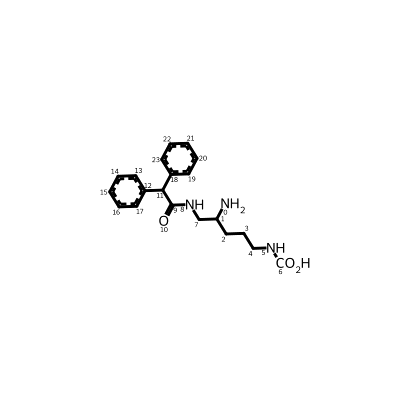 NC(CCCNC(=O)O)CNC(=O)C(c1ccccc1)c1ccccc1